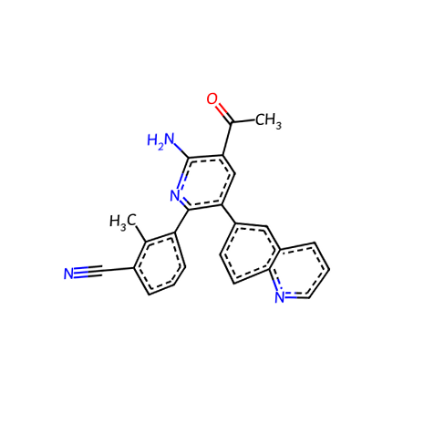 CC(=O)c1cc(-c2ccc3ncccc3c2)c(-c2cccc(C#N)c2C)nc1N